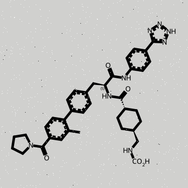 Cc1cc(C(=O)N2CCCC2)ccc1-c1ccc(C[C@H](NC(=O)[C@H]2CC[C@H](CNC(=O)O)CC2)C(=O)Nc2ccc(-c3nn[nH]n3)cc2)cc1